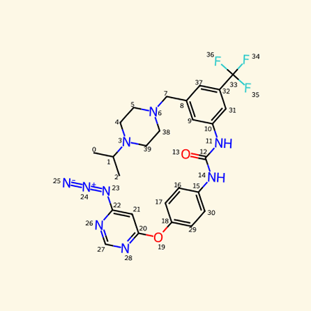 CC(C)N1CCN(Cc2cc(NC(=O)Nc3ccc(Oc4cc(N=[N+]=[N-])ncn4)cc3)cc(C(F)(F)F)c2)CC1